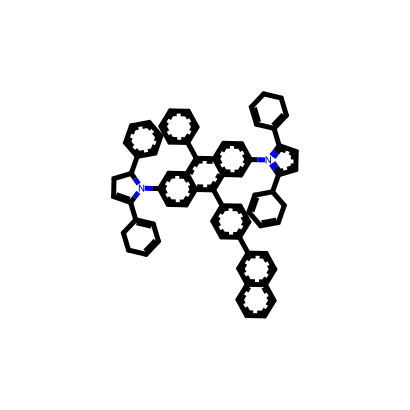 C1=CCCC(C2=CCC(c3ccccc3)N2c2ccc3c(-c4ccc(-c5ccc6ccccc6c5)cc4)c4cc(-n5c(C6=CCCC=C6)ccc5C5C=CC=CC5)ccc4c(-c4ccccc4)c3c2)=C1